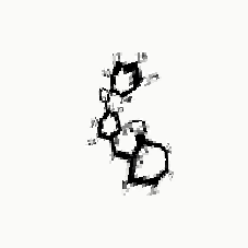 O=C1CCCCC1=Cc1ccc(Oc2ccccc2)cc1